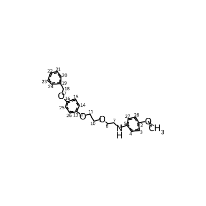 COc1ccc(NCCOCCOc2ccc(OCc3ccccc3)cc2)cc1